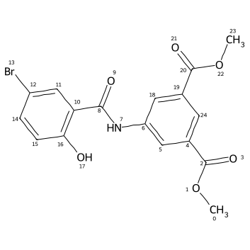 COC(=O)c1cc(NC(=O)c2cc(Br)ccc2O)cc(C(=O)OC)c1